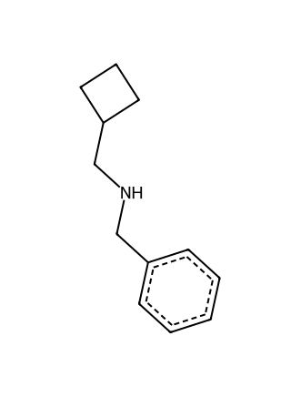 c1ccc(CNCC2CCC2)cc1